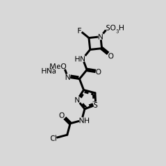 CON=C(C(=O)NC1C(=O)N(S(=O)(=O)O)C1F)c1csc(NC(=O)CCl)n1.[NaH]